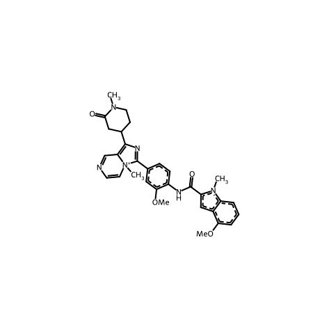 COc1cc(C2=NC(C3CCN(C)C(=O)C3)=C3C=NC=C[N+]23C)ccc1NC(=O)c1cc2c(OC)cccc2n1C